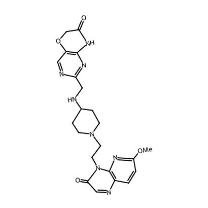 COc1ccc2ncc(=O)n(CCN3CCC(NCc4ncc5c(n4)NC(=O)CO5)CC3)c2n1